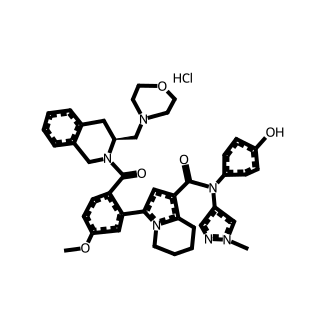 COc1ccc(C(=O)N2Cc3ccccc3C[C@H]2CN2CCOCC2)c(-c2cc(C(=O)N(c3ccc(O)cc3)c3cnn(C)c3)c3n2CCCC3)c1.Cl